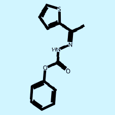 C/C(=N/NC(=O)Oc1ccccc1)c1cccs1